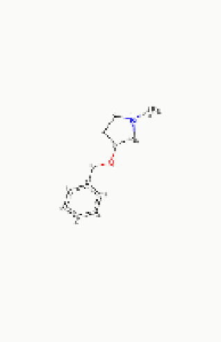 CC(C)(C)N1CCC(OCc2ccccc2)C1